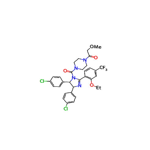 CCOc1cc(C(F)(F)F)ccc1C1=NC(c2ccc(Cl)cc2)C(c2ccc(Cl)cc2)N1C(=O)N1CCN(C(=O)COC)CC1